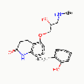 CC(C)(C)NCC(O)COc1cccc2c1CCC(=O)N2.O=C(O)c1ccccc1O